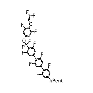 CCCCCc1cc(F)c(-c2cc(F)c(-c3cc(F)c(C(F)(F)Oc4cc(F)c(OC=C(F)F)c(F)c4)c(F)c3)c(F)c2)c(F)c1